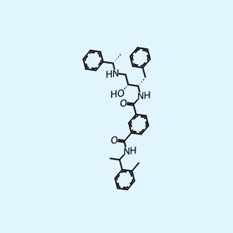 Cc1ccccc1C(C)NC(=O)c1cccc(C(=O)N[C@@H](Cc2ccccc2)[C@H](O)CN[C@@H](C)c2ccccc2)c1